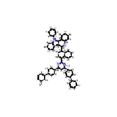 CC1C=CC=C(c2ccc(-c3cc([C@]4(C)C=CC(c5ccccc5)=CC4)nc(-c4ccc(-c5nc6ccccc6c6c5c5ccccc5n6-c5ccccc5)c5ccccc45)n3)cc2)C1